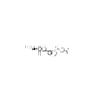 O=C(O)Nc1nc2ncc(-c3ccc4c(c3)CN(C(=O)N3CCC(C(F)F)CC3)CCO4)cc2[nH]1